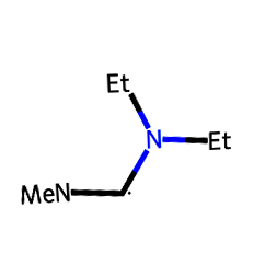 CCN([CH]NC)CC